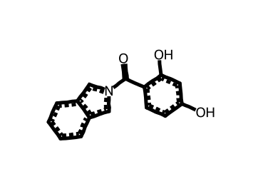 O=C(c1ccc(O)cc1O)n1cc2ccccc2c1